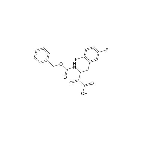 O=C(NC(Cc1cc(F)ccc1F)C(=O)C(=O)O)OCc1ccccc1